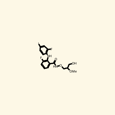 COC(CO)CONC(=O)c1cccc(F)c1Nc1ccc(I)cc1F